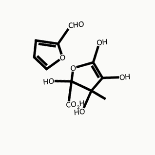 CC1(O)C(O)=C(O)OC1(O)C(=O)O.O=Cc1ccco1